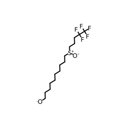 [O]CCCCCCCCCC[S+]([O-])CCCC(F)(F)C(F)(F)F